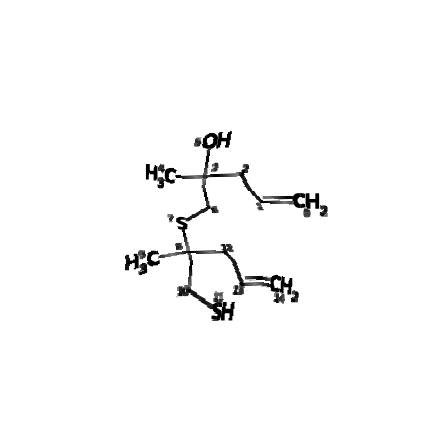 C=CCC(C)(O)CSC(C)(CS)CC=C